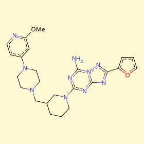 COc1cc(N2CCN(CC3CCCN(c4nc(N)n5nc(-c6ccco6)nc5n4)C3)CC2)ccn1